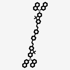 CC1(C)c2cc(/C=C/c3ccc(-c4ccc(/C=C/c5ccc6c(c5)C(C)(C)c5cc(N(c7ccc8ccccc8c7)c7cccc8ccccc78)ccc5-6)cc4)cc3)ccc2-c2ccc(N(c3ccc4ccccc4c3)c3cccc4ccccc34)cc21